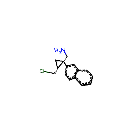 NC[C@@]1(c2ccc3ccccc3c2)C[C@H]1CCl